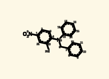 O=[N+]([O-])c1ccc(N(Cc2ccccc2)c2ccccc2)c(I)c1